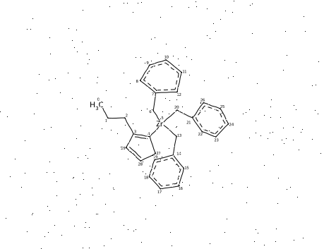 CCCC1=[C]([Zr]([CH2]c2ccccc2)([CH2]c2ccccc2)[CH2]c2ccccc2)CC=C1